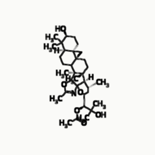 CC(=O)O[C@@H](C1C[C@@H](C)[C@H]2C3(N=C(C)OC3[C@@]3(C)C4CC[C@H]5C(C)(C)[C@@H](O)CC[C@@]56C[C@@]46CC[C@]23C)O1)C(C)(C)O